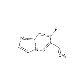 C=Cc1cn2ccnc2cc1F